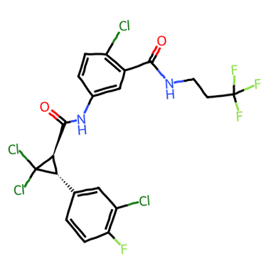 O=C(NCCC(F)(F)F)c1cc(NC(=O)[C@H]2[C@H](c3ccc(F)c(Cl)c3)C2(Cl)Cl)ccc1Cl